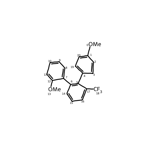 COc1ccc(-c2c(-c3ccccc3OC)[c]ccc2C(F)(F)F)cc1